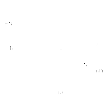 CCCN(CCC#N)C(=O)c1ccc(-c2ccnc3[nH]ccc23)s1